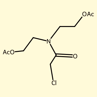 CC(=O)OCCN(CCOC(C)=O)C(=O)CCl